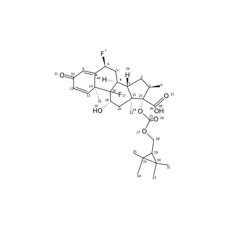 C[C@@H]1C[C@H]2[C@@H]3C[C@H](F)C4=CC(=O)C=C[C@]4(C)C3(F)[C@@H](O)C[C@]2(C)[C@]1(OC(=O)OCC1C(C)(C)C1(C)C)C(=O)O